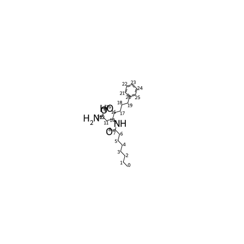 CCCCCCCC(=O)NC(CC(N)=O)C(O)CCCc1ccccc1